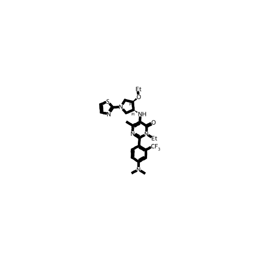 CCO[C@@H]1CN(c2nccs2)C[C@H]1Nc1c(C)nc(-c2ccc(N(C)C)cc2C(F)(F)F)n(CC)c1=O